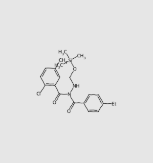 CCc1ccc(C(=O)N(NCO[Si](C)(C)C)C(=O)c2cc(C)ccc2Cl)cc1